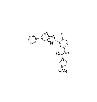 CO[C@@H]1CCN(C(=O)Nc2ccc(F)c(-c3nc4ncc(-c5ccccc5)cn4n3)c2)C1